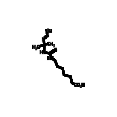 CC(C)(C)N=NC(C)(C)NC(=S)NCCCCCCC(=O)O